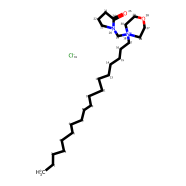 CCCCCCCCCCCCCCCCCC[N+]1(CN2CCCC2=O)CCOCC1.[Cl-]